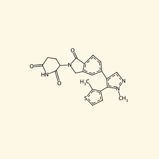 Cc1sccc1-c1c(-c2ccc3c(c2)CN(C2CCC(=O)NC2=O)C3=O)cnn1C